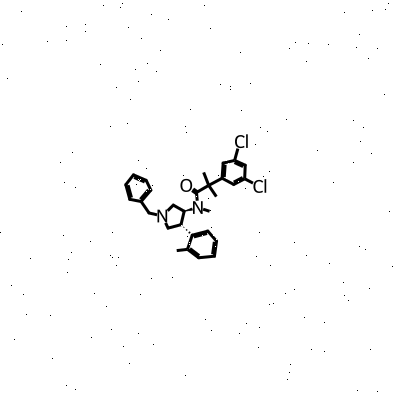 Cc1ccccc1[C@@H]1CN(Cc2ccccc2)C[C@H]1N(C)C(=O)C(C)(C)c1cc(Cl)cc(Cl)c1